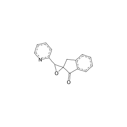 O=C1c2ccccc2CC12OC2c1ccccn1